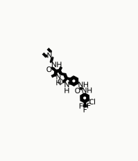 CCN(CC)CCNC(=O)c1c(C)[nH]c(/C=C2\C(=O)Nc3cc(NC(=O)Nc4ccc(C(F)(F)F)c(Cl)c4)ccc32)c1C